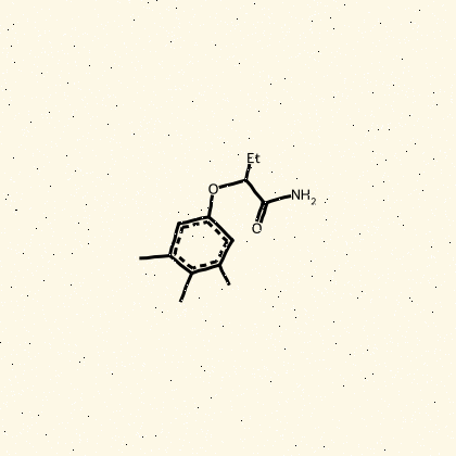 CCC(Oc1cc(C)c(C)c(C)c1)C(N)=O